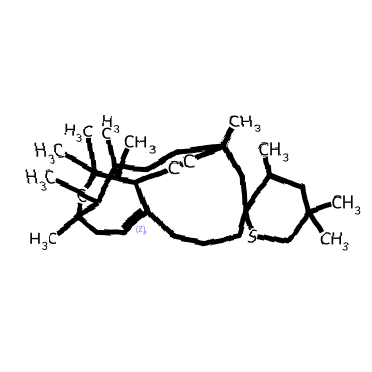 CC1CCCC2(C)CCC3/C(=C\CC1(C)CC(C)(C)C3(C)C)CCCC1(C2)SCC(C)(C)CC1C